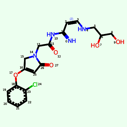 N=C(/C=C\NCC(O)CO)NC(=O)CN1CC(Oc2ccccc2Cl)=CC1=O